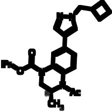 CC(=O)N1c2ccc(-c3cnn(CC4CCC4)c3)cc2N(C(=O)OC(C)C)C[C@@H]1C